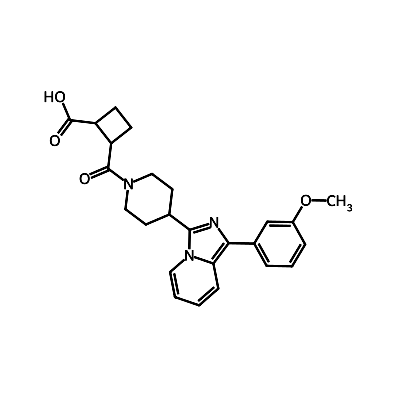 COc1cccc(-c2nc(C3CCN(C(=O)C4CCC4C(=O)O)CC3)n3ccccc23)c1